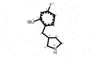 CC(C)(C)c1cc(F)ccc1CC1CCNC1